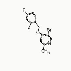 Cc1cc(OCc2ccc(F)cc2F)c(Br)cn1